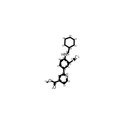 [C-]#[N+]c1cc(-c2cc(C(=O)OC)ccn2)ccc1NCC1CCCCC1